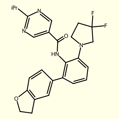 CC(C)c1ncc(C(=O)Nc2c(-c3ccc4c(c3)CCO4)cccc2N2CCC(F)(F)C2)cn1